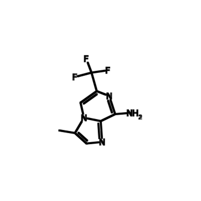 Cc1cnc2c(N)nc(C(F)(F)F)cn12